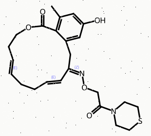 Cc1cc(O)cc2c1C(=O)OCC/C=C/CC/C=C/C(=N\OCC(=O)N1CCSCC1)C2